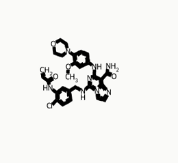 C=CC(=O)Nc1cc(CNc2nc(Nc3ccc(N4CCOCC4)c(OC)c3)c(C(N)=O)c3nccn23)ccc1Cl